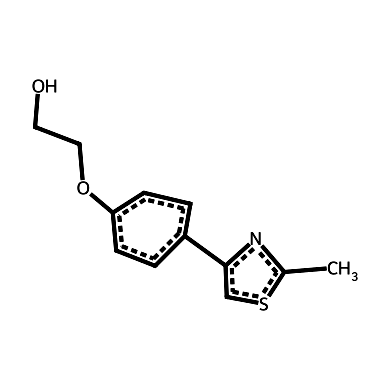 Cc1nc(-c2ccc(OCCO)cc2)cs1